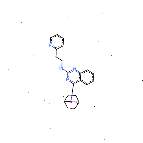 c1ccc(CCNc2nc(N3CC4CCC(CC4)C3)c3ccccc3n2)nc1